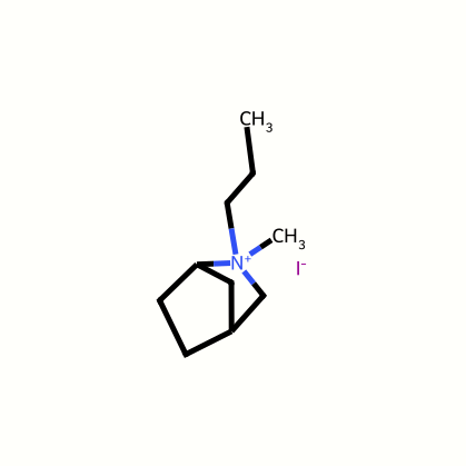 CCC[N+]1(C)CC2CCC1C2.[I-]